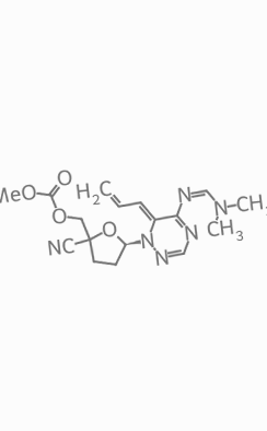 C=C/C=C1/C(/N=C\N(C)C)=NC=NN1[C@H]1CCC(C#N)(COC(=O)OC)O1